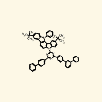 CC(C)(C)c1ccc2c(c1)c1c(ccc3c4cc(C(C)(C)C)ccc4n(-c4ccccc4)c31)n2-c1nc(-c2ccc(-c3ccccc3)cc2)nc(-c2ccc(-c3cccc(-c4ccccc4)c3)cc2)n1